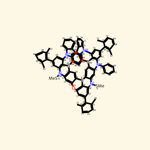 CSN1c2cc3c(cc2B2c4cc5c(cc4Oc4cc(-c6c(C)cccc6C)cc1c42)N(SC)c1cc(-c2c(C)cccc2C)cc2c1B5c1cccc4c5ccccc5n-2c14)B1c2c(cc(-c4c(C)cccc4C)cc2-n2c4ccccc4c4cccc1c42)N3c1ccccc1